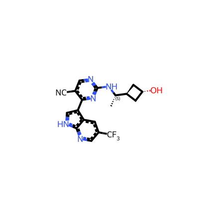 C[C@H](Nc1ncc(C#N)c(-c2c[nH]c3ncc(C(F)(F)F)cc23)n1)[C@H]1C[C@H](O)C1